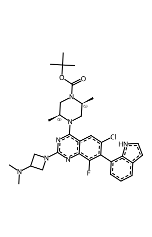 C[C@H]1CN(c2nc(N3CC(N(C)C)C3)nc3c(F)c(-c4cccc5cc[nH]c45)c(Cl)cc23)[C@@H](C)CN1C(=O)OC(C)(C)C